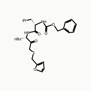 CCCC[C@H](NC(=O)[C@H](CC(C)C)NC(=O)OCc1ccccc1)C(=O)CSCc1ccco1